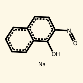 O=Nc1ccc2ccccc2c1O.[Na]